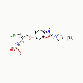 CC1CN(c2nc3ccc(OC/C(=C/F)CNC(=O)O)cc3o2)C1